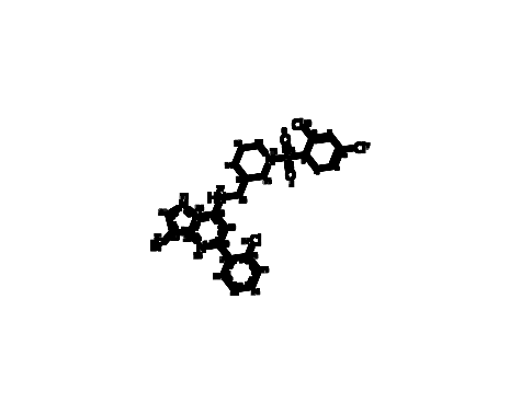 O=S(=O)(C1CC=C(Cl)C=C1Cl)N1CCCC(CNc2cc(-c3ccccc3Cl)nc3c(Br)cnn23)C1